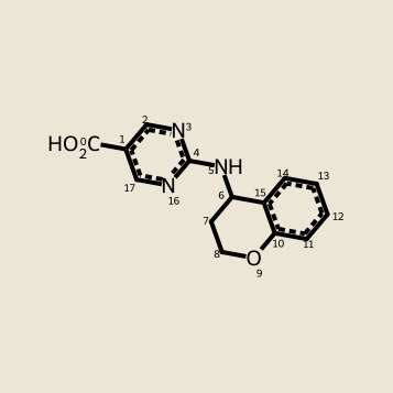 O=C(O)c1cnc(NC2CCOc3ccccc32)nc1